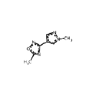 Cc1nc(-c2cnn(C)c2)no1